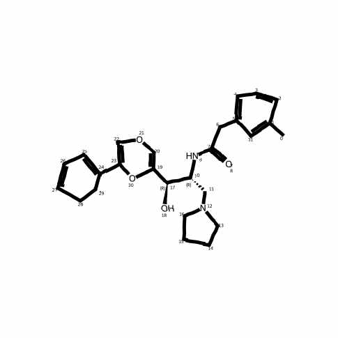 Cc1cccc(CC(=O)N[C@H](CN2CCCC2)[C@@H](O)C2=COC=C(C3=CC=CCC3)O2)c1